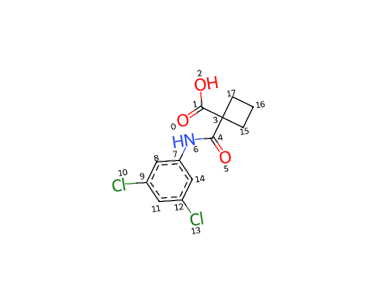 O=C(O)C1(C(=O)Nc2cc(Cl)cc(Cl)c2)CCC1